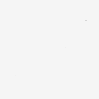 C=CCCC(Cc1ccc(C)cc1)SN